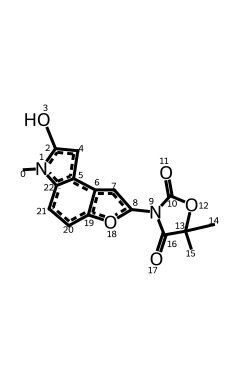 Cn1c(O)cc2c3cc(N4C(=O)OC(C)(C)C4=O)oc3ccc21